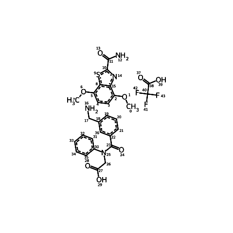 COc1ccc(OC)c2sc(C(N)=O)nc12.NCc1cccc(C(=O)N(CC(=O)O)c2ccccc2)c1.O=C(O)C(F)(F)F